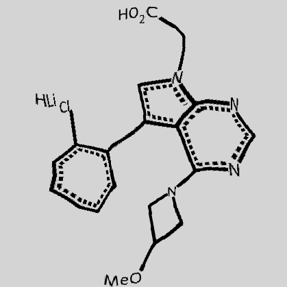 COC1CN(c2ncnc3c2c(-c2ccccc2Cl)cn3CC(=O)O)C1.[LiH]